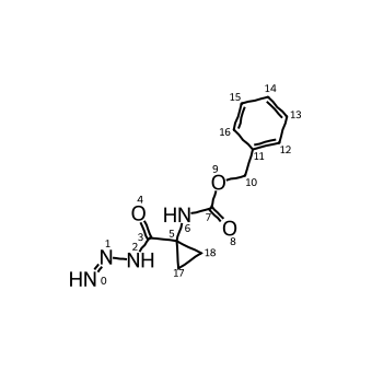 N=NNC(=O)C1(NC(=O)OCc2ccccc2)CC1